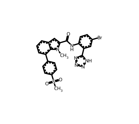 Cn1c(C(=O)Nc2ccc(Br)cc2-c2nnn[nH]2)cc2cccc(-c3ccc(S(C)(=O)=O)cc3)c21